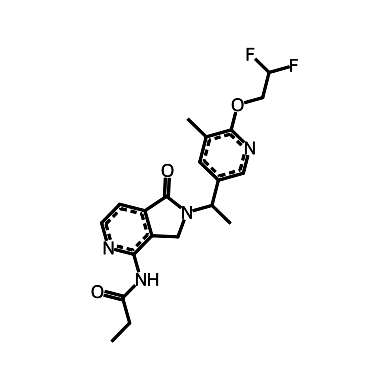 CCC(=O)Nc1nccc2c1CN(C(C)c1cnc(OCC(F)F)c(C)c1)C2=O